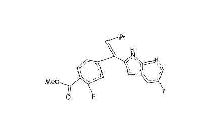 COC(=O)c1ccc(/C(=C/C(C)C)c2cc3cc(F)cnc3[nH]2)cc1F